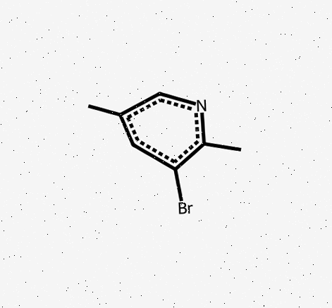 Cc1cnc(C)c(Br)c1